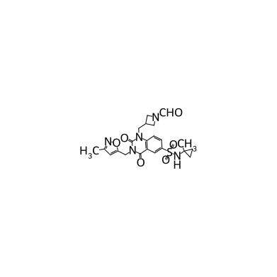 Cc1cc(Cn2c(=O)c3cc(S(=O)(=O)NC4(C)CC4)ccc3n(CC3CN(C=O)C3)c2=O)on1